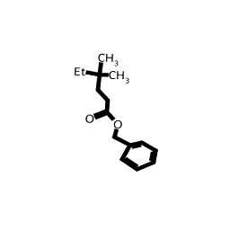 CCC(C)(C)CCC(=O)OCc1ccccc1